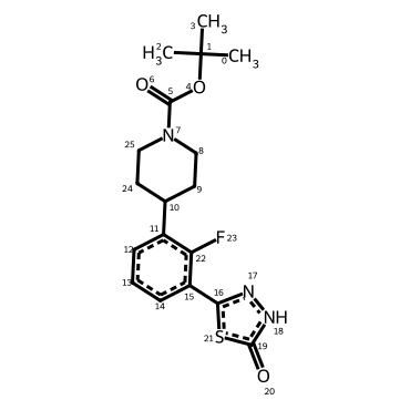 CC(C)(C)OC(=O)N1CCC(c2cccc(-c3n[nH]c(=O)s3)c2F)CC1